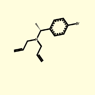 C=CCN(CC=C)[C@H](C)c1ccc(Br)cc1